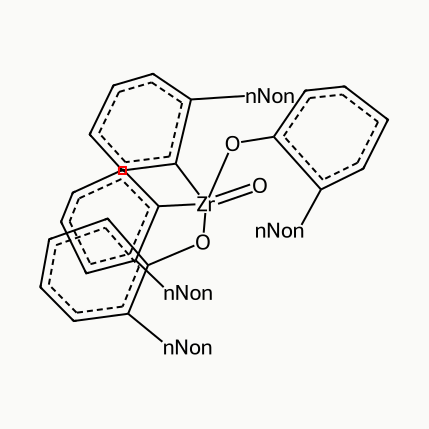 CCCCCCCCCc1ccccc1[O][Zr](=[O])([O]c1ccccc1CCCCCCCCC)([c]1ccccc1CCCCCCCCC)[c]1ccccc1CCCCCCCCC